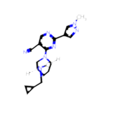 Cn1cc(-c2ncc(C#N)c(N3C[C@@H]4CC[C@H]3CN4CC3CC3)n2)cn1